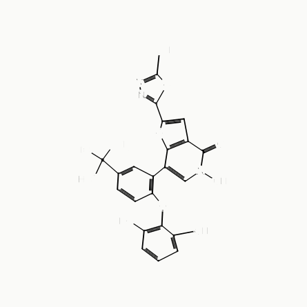 Cc1nnc(-c2cc3c(=O)n(C)cc(-c4cc(C(C)(C)O)ccc4Oc4c(C)cccc4C)c3o2)o1